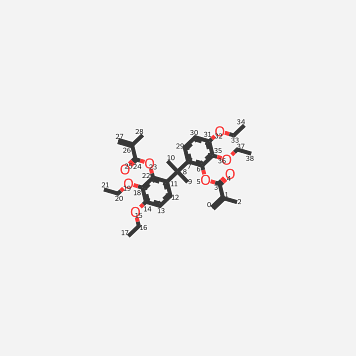 C=C(C)C(=O)Oc1c(C(C)(C)c2ccc(OCC)c(OCC)c2OC(=O)C(=C)C)ccc(OCC)c1OCC